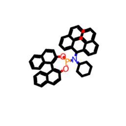 c1ccc2c(C(c3cccc4ccccc34)N(C3CCCCC3)p3oc4ccc5ccccc5c4c4c(ccc5ccccc54)o3)cccc2c1